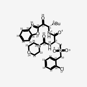 CCCC[C@H](NC(=O)[C@H](CS(=O)(=O)Cc1ccccc1Cl)NC(=O)N1CCOCC1)C(=O)c1nc2ccccc2o1